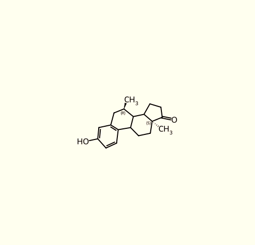 C[C@@H]1Cc2cc(O)ccc2C2CC[C@]3(C)C(=O)CCC3C21